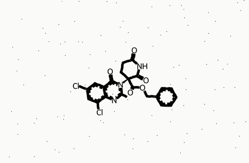 Cc1nc2c(Cl)cc(Cl)cc2c(=O)n1[C@@]1(C(=O)OCc2ccccc2)CCC(=O)NC1=O